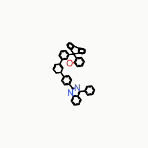 C1=CC(c2cccc3c2Oc2ccccc2C32c3ccccc3-c3ccccc32)=CC(c2ccc(-c3nc(-c4ccccc4)c4ccccc4n3)cc2)C1